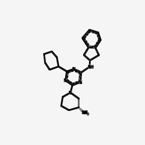 N[C@@H]1CCCN(c2nc(NC3Cc4ccccc4C3)nc(C3CCCCC3)n2)C1